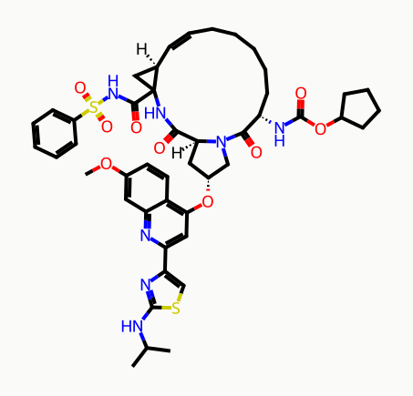 COc1ccc2c(O[C@@H]3C[C@H]4C(=O)NC5(C(=O)NS(=O)(=O)c6ccccc6)C[C@H]5/C=C\CCCCC[C@H](NC(=O)OC5CCCC5)C(=O)N4C3)cc(-c3csc(NC(C)C)n3)nc2c1